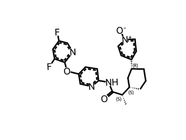 C[C@H](C(=O)Nc1ccc(Oc2ncc(F)cc2F)cn1)[C@H]1CCC[C@@H](c2cc[n+]([O-])cc2)C1